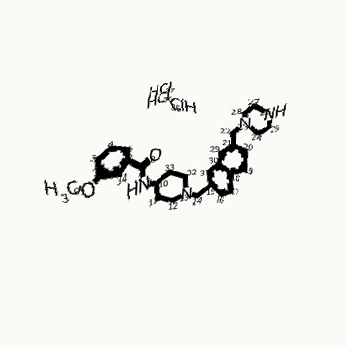 COc1cccc(C(=O)NC2CCN(Cc3ccc4ccc(CN5CCNCC5)cc4c3)CC2)c1.Cl.Cl.Cl